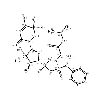 [2H]C1([2H])NN([C@@H]2O[C@H](C([2H])([2H])O[P@@](=O)(N[C@@H](C)C(=O)OC(C)C)Oc3ccccc3)[C@@H](O)[C@@]2(C)O)C(=O)N=C1O